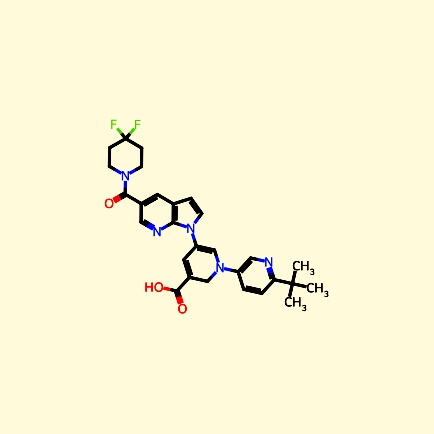 CC(C)(C)c1ccc(N2C=C(n3ccc4cc(C(=O)N5CCC(F)(F)CC5)cnc43)C=C(C(=O)O)C2)cn1